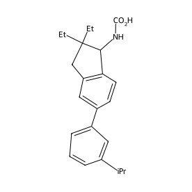 CCC1(CC)Cc2cc(-c3cccc(C(C)C)c3)ccc2C1NC(=O)O